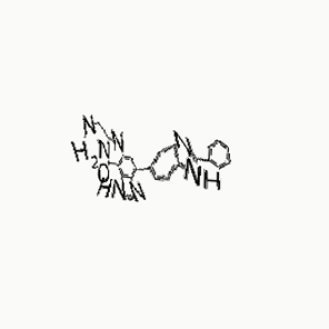 CN(C)CCN(C)c1cc(-c2ccc3[nH]c(-c4ccccc4)nc3c2)c2nc[nH]c2c1C(N)=O